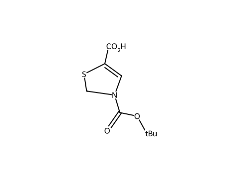 CC(C)(C)OC(=O)N1C=C(C(=O)O)SC1